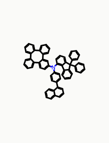 c1ccc(C2(c3ccccc3)c3ccccc3-c3c(N(c4ccc(-c5cccc6ccccc56)cc4)c4ccc5c(c4)-c4ccccc4-c4ccccc4-c4ccccc4-5)cccc32)cc1